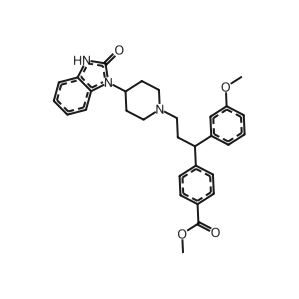 COC(=O)c1ccc(C(CCN2CCC(n3c(=O)[nH]c4ccccc43)CC2)c2cccc(OC)c2)cc1